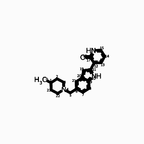 CC1CCN(Cc2ccc3[nH]c(-c4c[c]c[nH]c4=O)cc3c2)CC1